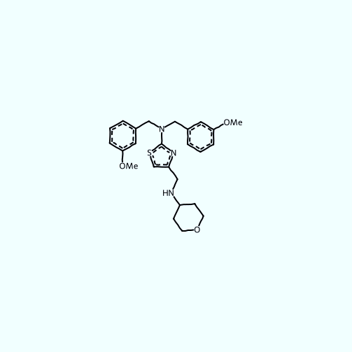 COc1cccc(CN(Cc2cccc(OC)c2)c2nc(CNC3CCOCC3)cs2)c1